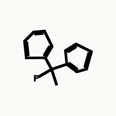 CC(F)(c1ccccc1)c1ccccc1